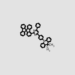 CC1(C)c2ccccc2N(c2ccc(-c3cc(-c4ccccc4)nc(-c4cccc5c4-c4ccccc4C54c5ccccc5-c5ccccc54)n3)cc2)c2ccccc21